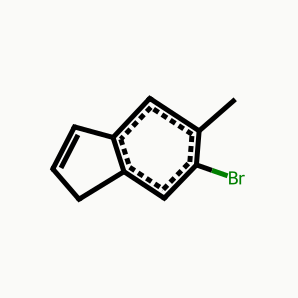 Cc1cc2c(cc1Br)CC=C2